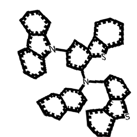 c1ccc2cc(N(c3cc(-n4c5ccccc5c5ccccc54)cc4c3sc3ccccc34)c3cccc4sc5ccccc5c34)ccc2c1